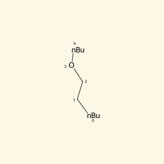 [CH2]CCCCCOCCCC